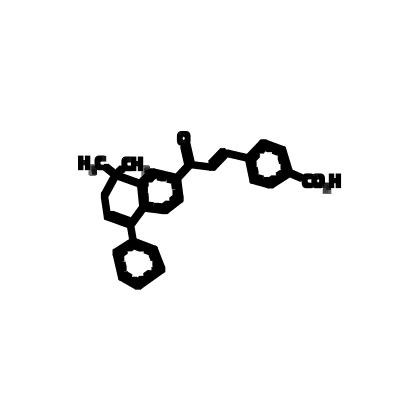 CC1(C)CC=C(c2ccccc2)c2ccc(C(=O)C=Cc3ccc(C(=O)O)cc3)cc21